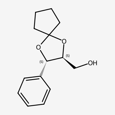 OC[C@@H]1OC2(CCCC2)O[C@H]1c1ccccc1